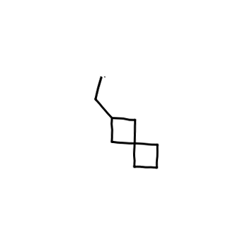 [CH2]CC1CC2(CCC2)C1